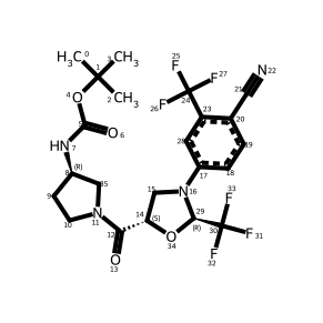 CC(C)(C)OC(=O)N[C@@H]1CCN(C(=O)[C@@H]2CN(c3ccc(C#N)c(C(F)(F)F)c3)[C@@H](C(F)(F)F)O2)C1